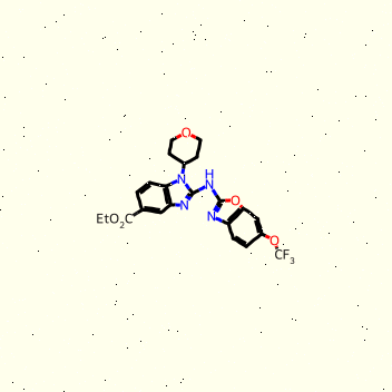 CCOC(=O)c1ccc2c(c1)nc(Nc1nc3ccc(OC(F)(F)F)cc3o1)n2C1CCOCC1